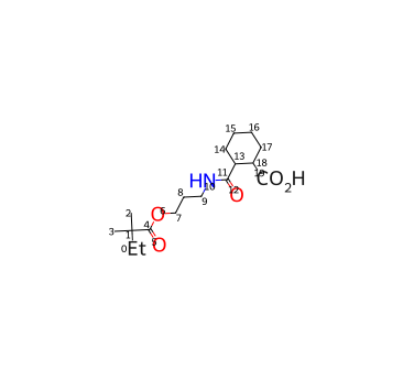 CCC(C)(C)C(=O)OCCCNC(=O)C1CCCCC1C(=O)O